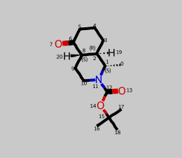 C[C@H]1[C@@H]2CCCC(=O)[C@H]2CCN1C(=O)OC(C)(C)C